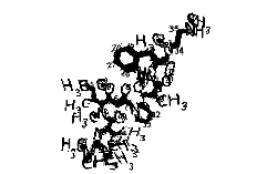 CCC(C)C(C(CC(=O)N1CCC[C@H]1C(OC)C(C)C(=O)NC(Cc1ccccc1)C(=O)N(C)CCNC)OC)N(C)C(=O)C(N=C(N(C)C)N(C)C)C(C)C